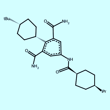 CC(C)[C@H]1CC[C@@H](C(=O)Nc2cc(C(N)=O)c([C@H]3CC[C@@H](C(C)(C)C)CC3)c(C(N)=O)c2)CC1